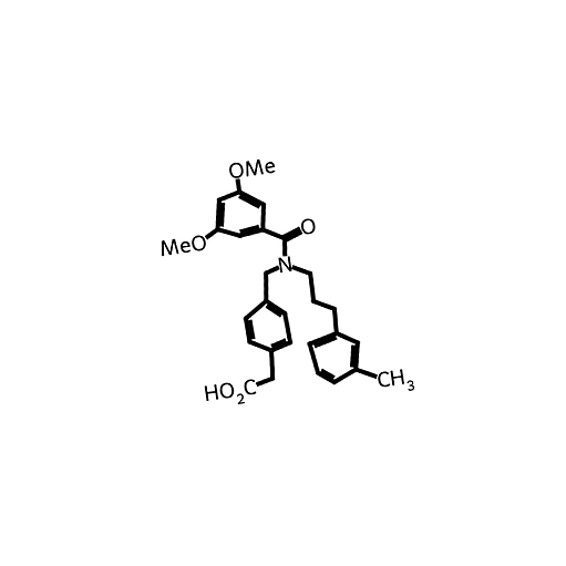 COc1cc(OC)cc(C(=O)N(CCCc2cccc(C)c2)Cc2ccc(CC(=O)O)cc2)c1